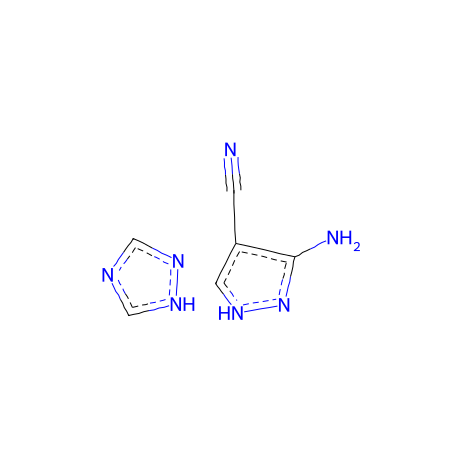 N#Cc1c[nH]nc1N.c1nc[nH]n1